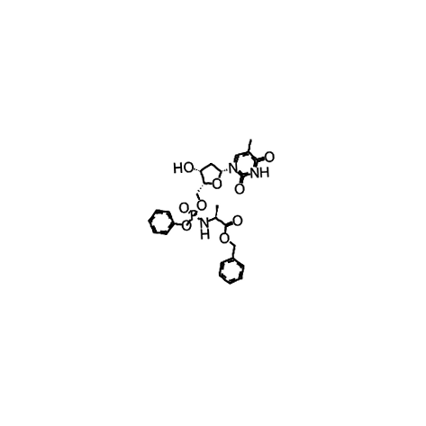 Cc1cn([C@H]2C[C@@H](O)[C@@H](COP(=O)(N[C@@H](C)C(=O)OCc3ccccc3)Oc3ccccc3)O2)c(=O)[nH]c1=O